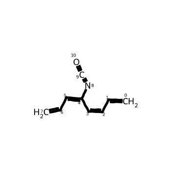 C=C/C=C\C(=C/C=C)N=C=O